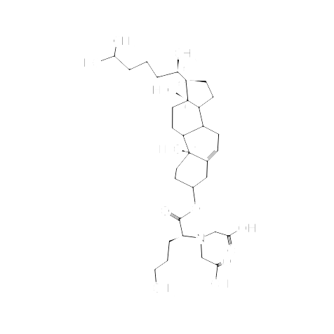 CCCC[C@@H](C(=O)OC1CC[C@@]2(C)C(=CCC3C2CC[C@@]2(C)C3CC[C@@H]2[C@H](C)CCCC(C)C)C1)N(CC(=O)O)CC(=O)O